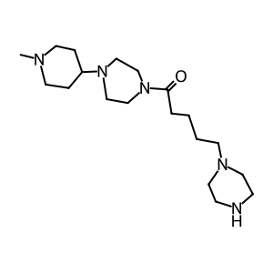 CN1CCC(N2CCN(C(=O)CCCCN3CCNCC3)CC2)CC1